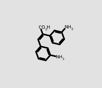 Nc1cccc(C=C(C(=O)O)c2cccc(N)c2)c1